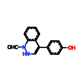 O=CN1NC=C(c2ccc(O)cc2)c2ccccc21